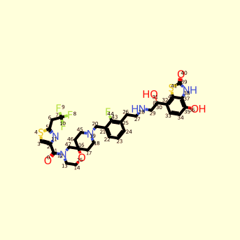 O=C(c1csc(CC(F)(F)F)n1)N1CCOC2(CCN(Cc3cccc(CCNC[C@H](O)c4ccc(O)c5[nH]c(=O)sc45)c3F)CC2)C1